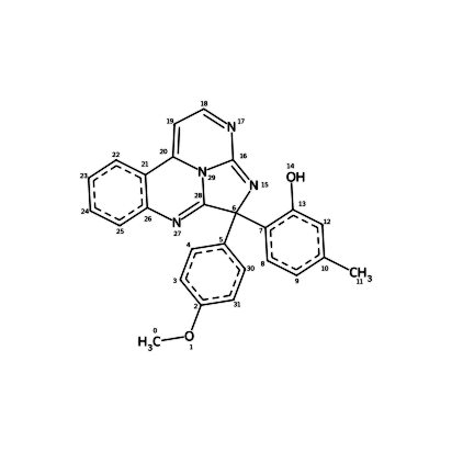 COc1ccc(C2(c3ccc(C)cc3O)N=C3N=CC=C4c5ccccc5N=C2N43)cc1